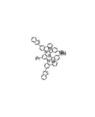 CC(C)c1cc2c3c(c1)N(c1ccc(-c4cc5ccccc5s4)cc1-c1ccccc1)c1oc4ccc(C(C)(C)C)cc4c1B3c1c(oc3ccc(C(C)(C)C)cc13)N2c1ccc(-c2cc3ccccc3s2)cc1-c1ccccc1